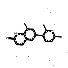 Cc1ccc(-c2cc(C)c3[nH]c(=O)ccc3c2)c(C)n1